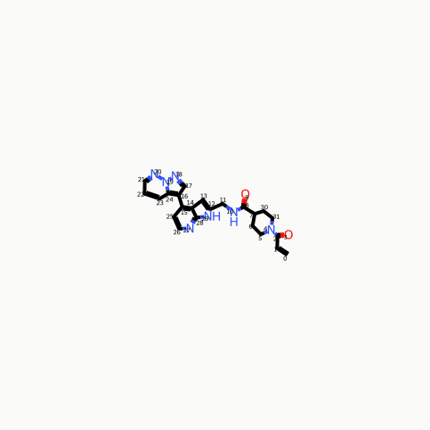 C=CC(=O)N1CCC(C(=O)NCc2cc3c(-c4cnn5ncccc45)ccnc3[nH]2)CC1